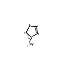 CC(C)N1C=[C]CC1